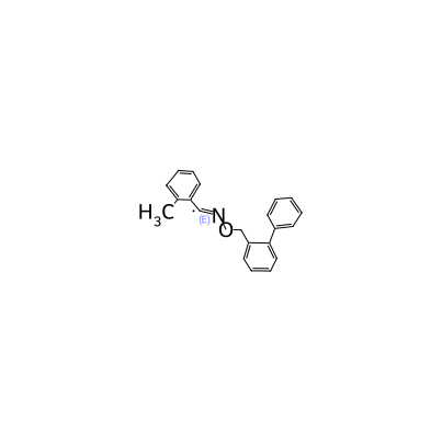 Cc1ccccc1/[C]=N/OCc1ccccc1-c1ccccc1